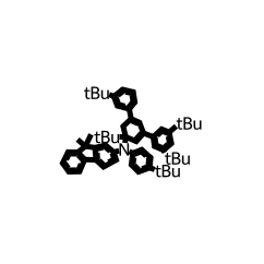 CC(C)(C)c1ccc(N(c2ccc3c(c2)C(C)(C)c2ccccc2-3)C2(C(C)(C)C)C=C(c3cc(C(C)(C)C)cc(C(C)(C)C)c3)C=C(c3cccc(C(C)(C)C)c3)C2)cc1